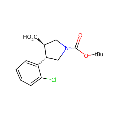 CC(C)(C)OC(=O)N1C[C@H](C(=O)O)[C@@H](c2ccccc2Cl)C1